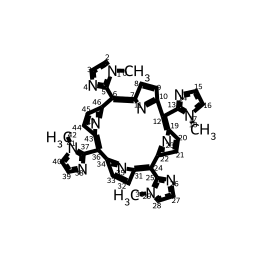 Cn1ccnc1C1=C2C=CC(=N2)C(c2nccn2C)=C2C=CC(=N2)C(c2nccn2C)=C2C=CC(=N2)C(c2nccn2C)=C2C=CC1=N2